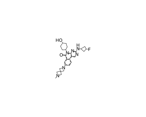 CN1CC2(C1)CN(c1ccc3c(c1)c(=O)n(C1CCC(O)CC1)c1nc(NC4CC(F)C4)ncc31)C2